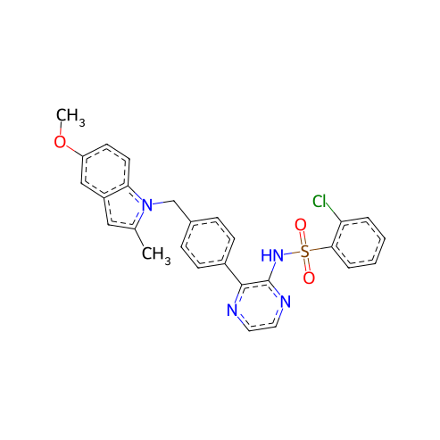 COc1ccc2c(c1)cc(C)n2Cc1ccc(-c2nccnc2NS(=O)(=O)c2ccccc2Cl)cc1